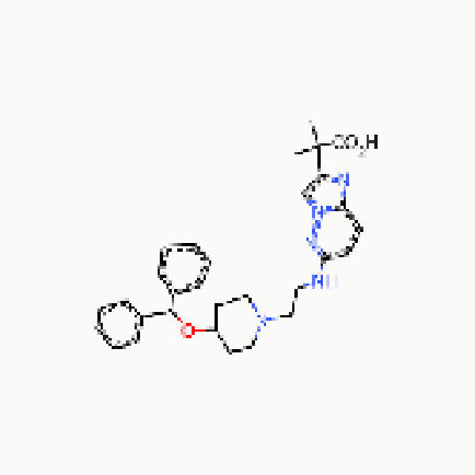 CC(C)(C(=O)O)c1cn2nc(NCCN3CCC(OC(c4ccccc4)c4ccccc4)CC3)ccc2n1